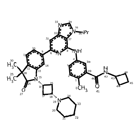 Cc1ccc(Nc2nc(-c3ccc4c(c3)N([C@H]3C[C@@H](N5CCCCC5)C3)C(=O)C4(C)C)cc3ncn(C(C)C)c23)cc1C(=O)NC1CCC1